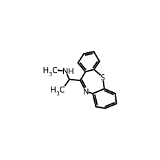 CNC(C)C1=Nc2ccccc2Sc2ccccc21